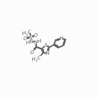 Cc1nc(-c2cccnc2)sc1C(=O)NNS(C)(=O)=O